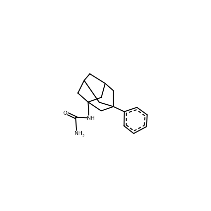 NC(=O)NC12CC3CC(C1)CC(c1ccccc1)(C3)C2